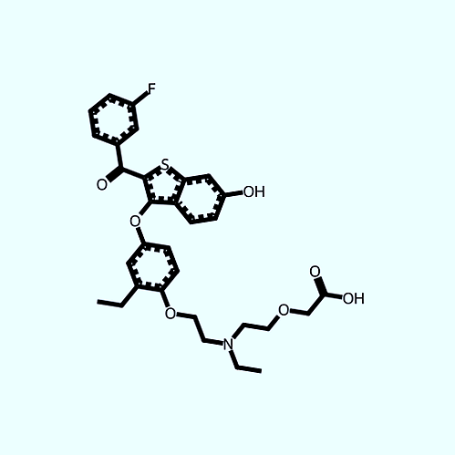 CCc1cc(Oc2c(C(=O)c3cccc(F)c3)sc3cc(O)ccc23)ccc1OCCN(CC)CCOCC(=O)O